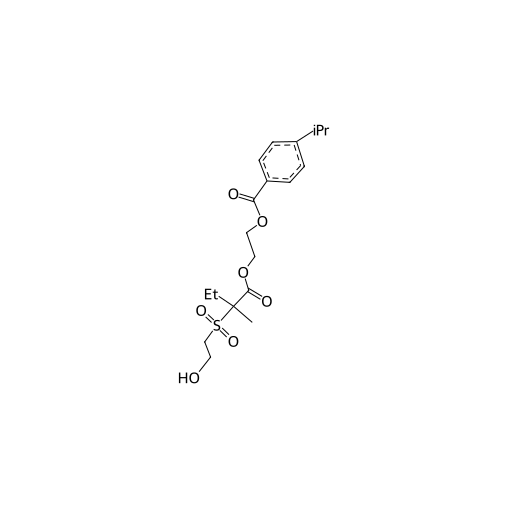 CCC(C)(C(=O)OCCOC(=O)c1ccc(C(C)C)cc1)S(=O)(=O)CCO